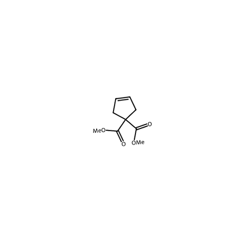 COC(=O)C1(C(=O)OC)CC=CC1